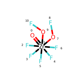 [O]=[Zr]([F])([F])([F])([F])([F])([O]F)[O]F